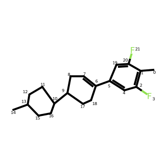 Cc1c(F)cc(C2=CCC(C3CCC(C)CC3)CC2)cc1F